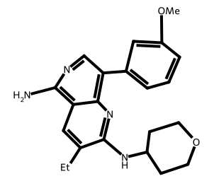 CCc1cc2c(N)ncc(-c3cccc(OC)c3)c2nc1NC1CCOCC1